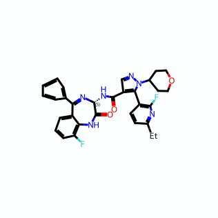 CCc1ccc(-c2c(C(=O)N[C@H]3N=C(c4ccccc4)c4cccc(F)c4NC3=O)cnn2C2CCOCC2)c(F)n1